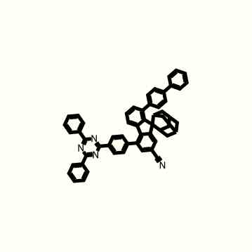 N#Cc1cc(-c2ccc(-c3nc(-c4ccccc4)nc(-c4ccccc4)n3)cc2)c2c(c1)C1(c3c(-c4ccc(-c5ccccc5)cc4)cccc3-2)C2CC3CC(C2)CC1C3